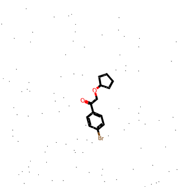 O=C(COC1CCCC1)c1ccc(Br)cc1